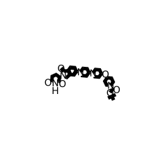 CC(C)(C)OC(=O)N1CCC(OC2CCN(C3CCN(c4ccc5c(c4)CN([C@H]4CCC(=O)NC4=O)C5=O)CC3)CC2)CC1